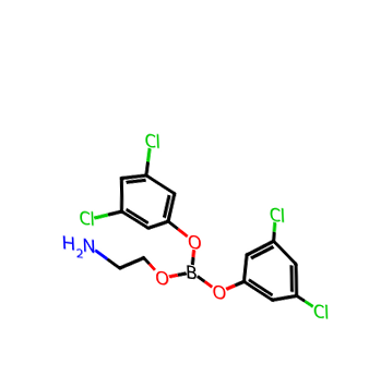 NCCOB(Oc1cc(Cl)cc(Cl)c1)Oc1cc(Cl)cc(Cl)c1